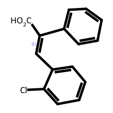 O=C(O)/C(=C/c1ccccc1Cl)c1ccccc1